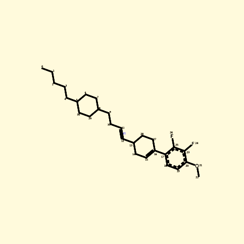 CCCCCC1CCC(CC/C=C/C2CC=C(c3ccc(OC)c(F)c3F)CC2)CC1